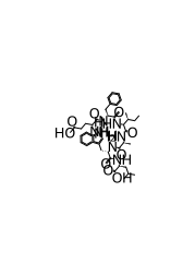 CC[C@H](C)[C@H](NC(=O)[C@H](Cc1ccccc1)NC(=O)[C@@H](N)CCC(=O)O)C(=O)N[C@@H](C)C(=O)N[C@@H](Cc1c[nH]c2ccccc12)C(=O)N[C@@H](CC(C)C)C(=O)O